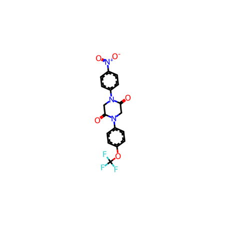 O=C1CN(c2ccc([N+](=O)[O-])cc2)C(=O)CN1c1ccc(OC(F)(F)F)cc1